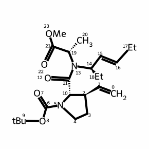 C=C[C@H]1CCN(C(=O)OC(C)(C)C)[C@@H]1C(=O)N([C@@H](/C=C/CC)CC)[C@@H](C)C(=O)OC